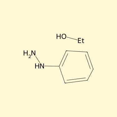 CCO.NNc1ccccc1